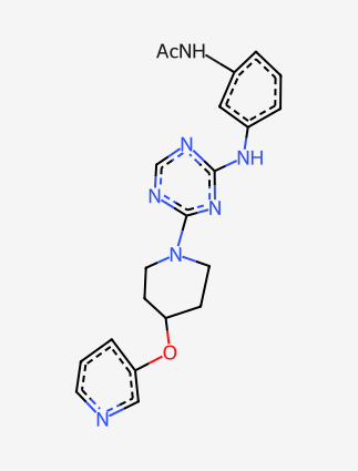 CC(=O)Nc1cccc(Nc2ncnc(N3CCC(Oc4cccnc4)CC3)n2)c1